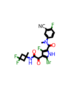 CN(C(=O)c1[nH]c(Br)c(C(=O)C(=O)NC2(C)CC(F)(F)C2)c1F)c1ccc(F)c(C#N)c1